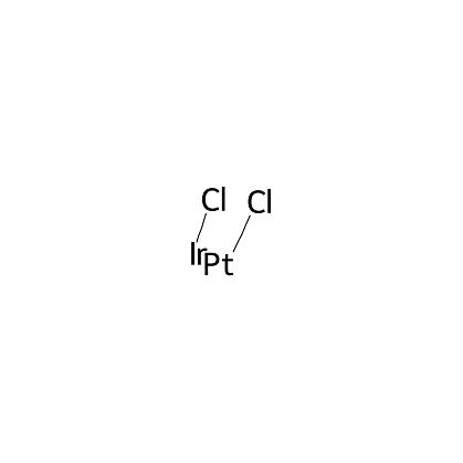 [Cl][Ir].[Cl][Pt]